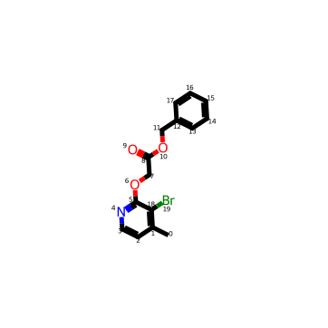 Cc1ccnc(OCC(=O)OCc2ccccc2)c1Br